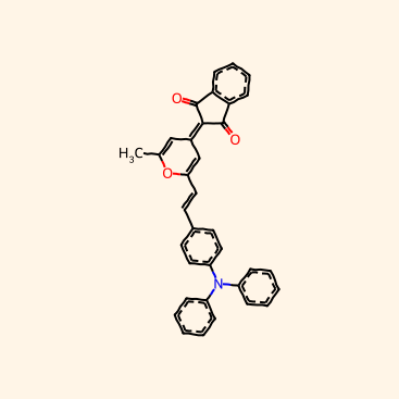 CC1=CC(=C2C(=O)c3ccccc3C2=O)C=C(C=Cc2ccc(N(c3ccccc3)c3ccccc3)cc2)O1